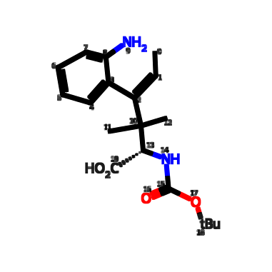 C/C=C(\c1ccccc1N)C(C)(C)[C@H](NC(=O)OC(C)(C)C)C(=O)O